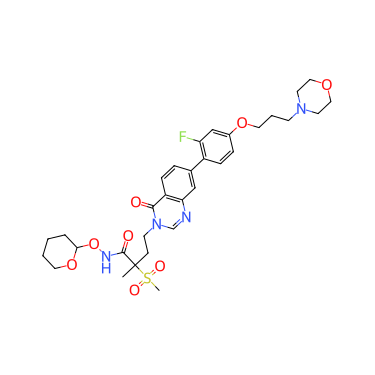 CC(CCn1cnc2cc(-c3ccc(OCCCN4CCOCC4)cc3F)ccc2c1=O)(C(=O)NOC1CCCCO1)S(C)(=O)=O